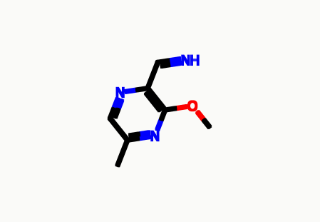 COc1nc(C)cnc1C=N